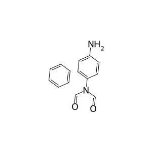 Nc1ccc(N(C=O)C=O)cc1.c1ccccc1